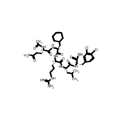 CC(=O)N[C@@H](CCC(N)=O)C(=O)N[C@@H](CC1CCCCC1)C(=O)N[C@@H](CCCNC(=N)N)C(=O)N[C@@H](CC(C)C)C(=O)N[C@@H](Cc1ccc(Cl)c(Cl)c1)C(N)=O